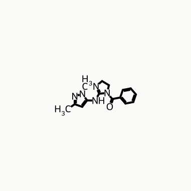 Cc1cc(NC2=NCCN2C(=O)c2ccccc2)n(C)n1